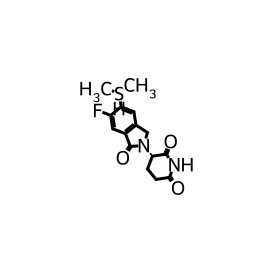 C[SH](C)c1cc2c(cc1F)C(=O)N([C@H]1CCC(=O)NC1=O)C2